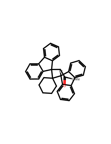 CCC1(C2(C3(CC(=O)OC)c4ccccc4-c4ccccc43)CCCCC2)c2ccccc2-c2ccccc21